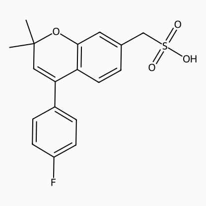 CC1(C)C=C(c2ccc(F)cc2)c2ccc(CS(=O)(=O)O)cc2O1